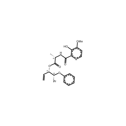 C=C[C@H](OC(=O)[C@H](C)NC(=O)c1nccc(OC)c1O)[C@H](Oc1ccccc1)C(C)C